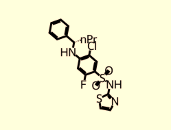 CCC[C@H](Nc1cc(F)c(S(=O)(=O)Nc2nccs2)cc1Cl)c1ccccc1